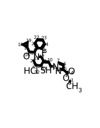 CCOC(=O)c1ccn(CC=C2CN(C(C(=O)C3CC3)c3ccccc3F)CCC2S)n1.Cl